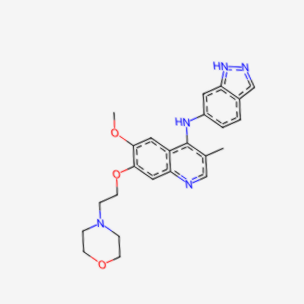 COc1cc2c(Nc3ccc4cn[nH]c4c3)c(C)cnc2cc1OCCN1CCOCC1